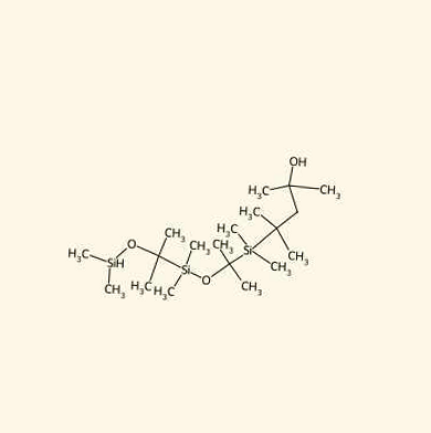 C[SiH](C)OC(C)(C)[Si](C)(C)OC(C)(C)[Si](C)(C)C(C)(C)CC(C)(C)O